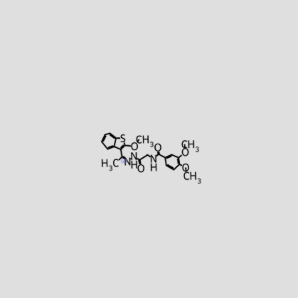 COc1ccc(C(=O)NCC(=O)N/N=C(/C)c2c(OC)sc3ccccc23)cc1OC